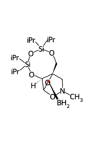 B[C@@H]1O[C@]23CO[Si](C(C)C)(C(C)C)O[Si](C(C)C)(C(C)C)O[C@@H]2C1ON(C)C3